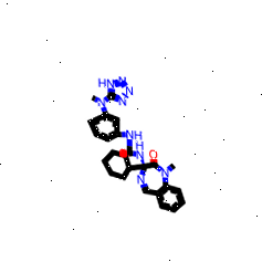 CN1C(=O)[C@@](NC(=O)Nc2cccc(N(C)c3nnn[nH]3)c2)(C2CCCCC2)N=Cc2ccccc21